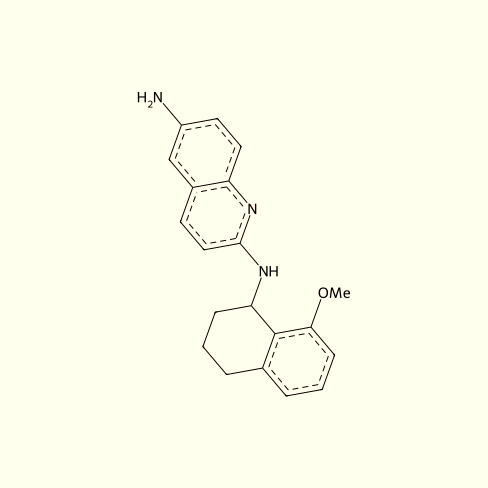 COc1cccc2c1C(Nc1ccc3cc(N)ccc3n1)CCC2